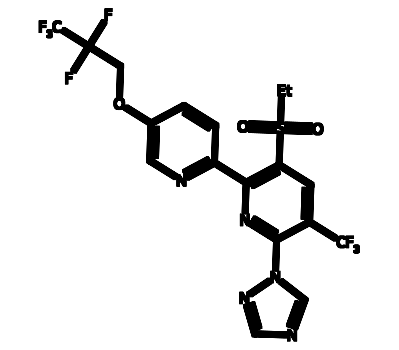 CCS(=O)(=O)c1cc(C(F)(F)F)c(-n2cncn2)nc1-c1ccc(OCC(F)(F)C(F)(F)F)cn1